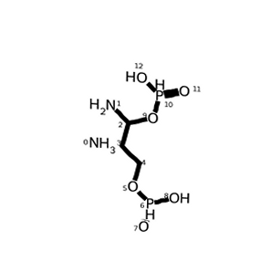 N.NC(CCO[PH](=O)O)O[PH](=O)O